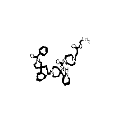 CCOC(=O)CN1CCN(C(=O)NC2(c3ccccn3)CCN(CCC3(c4ccccc4)CCN(C(=O)c4ccccc4)C3)CC2)CC1